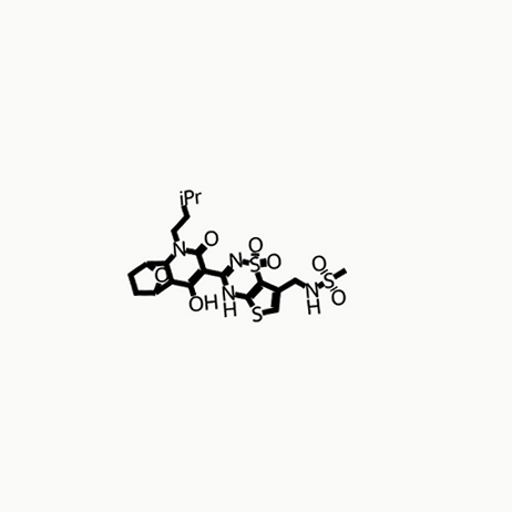 CC(C)CCN1C(=O)C(C2=NS(=O)(=O)c3c(CNS(C)(=O)=O)csc3N2)=C(O)C2C3CCC(O3)C21